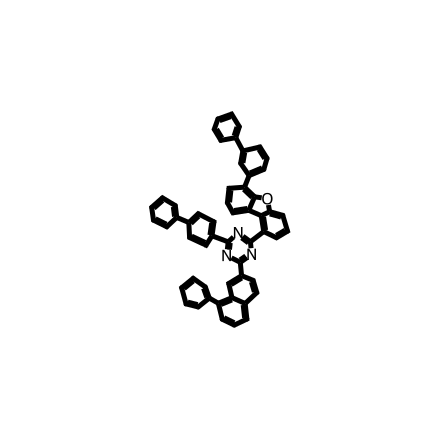 c1ccc(-c2ccc(-c3nc(-c4ccc5cccc(-c6ccccc6)c5c4)nc(-c4cccc5oc6c(-c7cccc(-c8ccccc8)c7)cccc6c45)n3)cc2)cc1